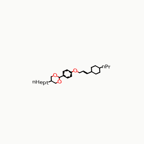 CCCCCCCC1COC(c2ccc(OCC=CC3CCC(CCC)CC3)cc2)OC1